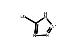 CCC1=NN=[N+]N1